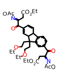 CCOCCC1(CCOCC)c2cc(C(=O)/C(CC(=O)OCC)=N/OC(C)=O)ccc2C2C=CC(C(=O)/C(CC(=O)OCC)=N/OC(C)=O)=CC21